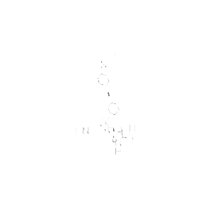 NCCNC(=O)C(Cc1ccc(C#Cc2ccc(CN3CCOCC3)cc2)cc1)c1nc[nH]c(=O)c1O